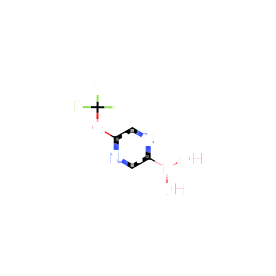 OB(O)c1cnc(OC(F)(F)F)cn1